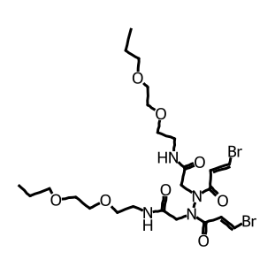 CCCOCCOCCNC(=O)CN(C(=O)/C=C/Br)N(CC(=O)NCCOCCOCCC)C(=O)/C=C/Br